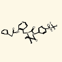 CC1(C)C(=O)N(c2ccc(S(=O)(=O)C(F)(F)F)cc2)C(=O)N1Cc1ccncc1NC(=O)Cc1ccccc1